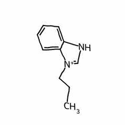 CCC[n+]1c[nH]c2ccccc21